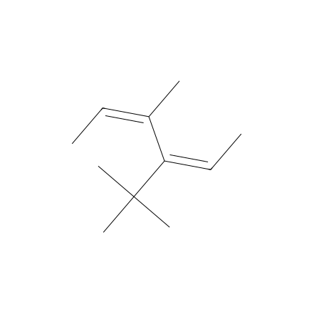 C/C=C(C)\C(=C/C)C(C)(C)C